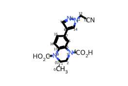 C[C@H]1CN(C(=O)O)c2cc(-c3cnn(CC#N)c3)ccc2N1C(=O)O